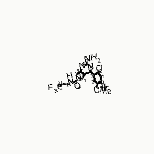 COc1cc(-c2nc(N)nc3c2CN(C(=O)NCCC(F)(F)F)C3)c(Cl)cc1Br